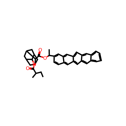 CCC(C)C(=O)OC1C2CC3CC1CC(C2)C3C(=O)OC(C)c1ccc2cc3cc4cc5ccccc5cc4cc3cc2c1